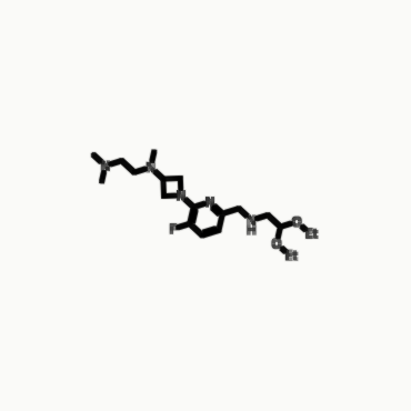 CCOC(CNCc1ccc(F)c(N2CC(N(C)CCN(C)C)C2)n1)OCC